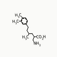 Cc1ccc(CCC(C)CC(CN)C(=O)O)cc1C